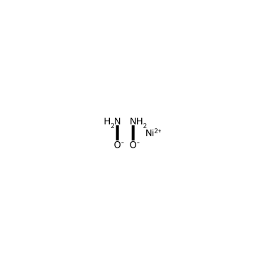 N[O-].N[O-].[Ni+2]